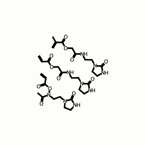 C=C(C)C(=O)OCC(=O)NCCN1CCNC1=O.C=CC(=O)OCC(=O)NCCN1CCNC1=O.C=CC(=O)ON(CCN1CCNC1=O)C(C)=O